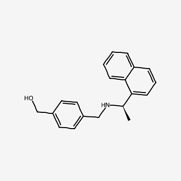 C[C@@H](NCc1ccc(CO)cc1)c1cccc2ccccc12